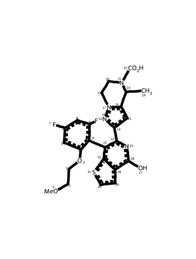 COCCOc1cc(F)cc(F)c1-c1c(-c2cc3n(n2)CCN(C(=O)O)C3C)nc(O)c2ccsc12